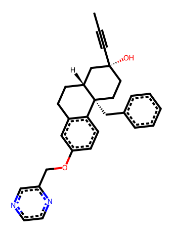 CC#C[C@@]1(O)CC[C@@]2(Cc3ccccc3)c3ccc(OCc4cnccn4)cc3CC[C@@H]2C1